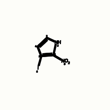 O=[N+]([O-])c1[nH]ccc1I